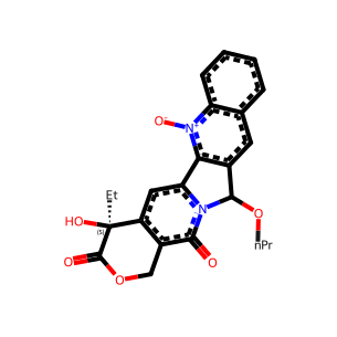 CCCOC1c2cc3ccccc3[n+]([O-])c2-c2cc3c(c(=O)n21)COC(=O)[C@]3(O)CC